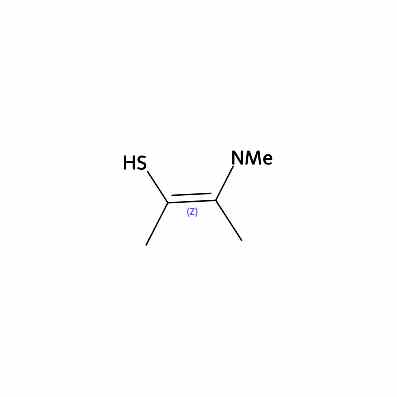 CN/C(C)=C(/C)S